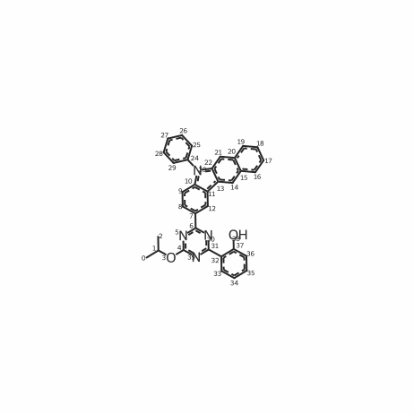 CC(C)Oc1nc(-c2ccc3c(c2)c2cc4ccccc4cc2n3-c2ccccc2)nc(-c2ccccc2O)n1